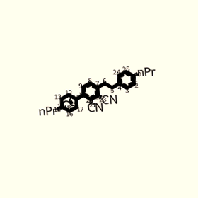 CCCc1ccc(CCc2ccc(C34CCC(CCC)(CC3)CC4)c(C#N)c2C#N)cc1